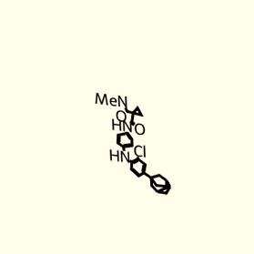 CNC(=O)C1(C(=O)Nc2ccc(Nc3ccc(C45CC6CC(C4)C(C6)C5)cc3Cl)cc2)CC1